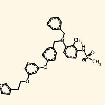 Cc1c(NS(C)(=O)=O)cccc1N(Cc1ccccc1)Cc1ccc(Oc2cccc(OCCc3ccsc3)c2)cc1